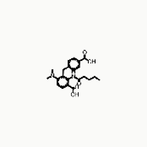 CCCCC(=O)Nc1c(C(=O)O)ccc(N(C)C)c1Cc1ccc(C(=O)O)cc1